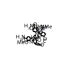 CN/N=C(\OC=O)c1ccc2cc1-c1nc3c(OC)c(C(N)=O)ccc3n1CCn1c(nc3c(OC)c(C(N)=O)ccc31)-c1ccc(cc1-c1n[nH]c(=O)o1)OCCO2